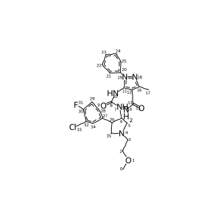 COCCN1CC(NC(=O)Nc2c(C(N)=O)c(C)nn2-c2ccccc2)C(c2ccc(F)c(Cl)c2)C1